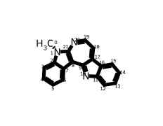 Cn1c2ccccc2c2c3nc4ccccc4c-3ccnc21